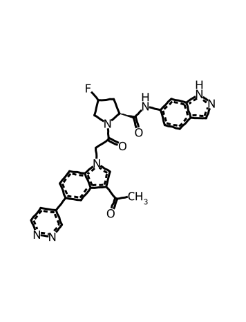 CC(=O)c1cn(CC(=O)N2CC(F)C[C@H]2C(=O)Nc2ccc3cn[nH]c3c2)c2ccc(-c3ccnnc3)cc12